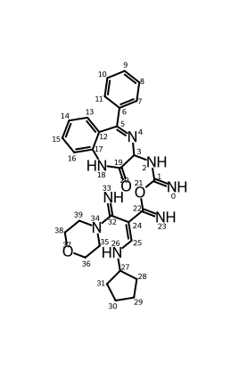 N=C(NC1N=C(c2ccccc2)c2ccccc2NC1=O)OC(=N)/C(=C/NC1CCCC1)C(=N)N1CCOCC1